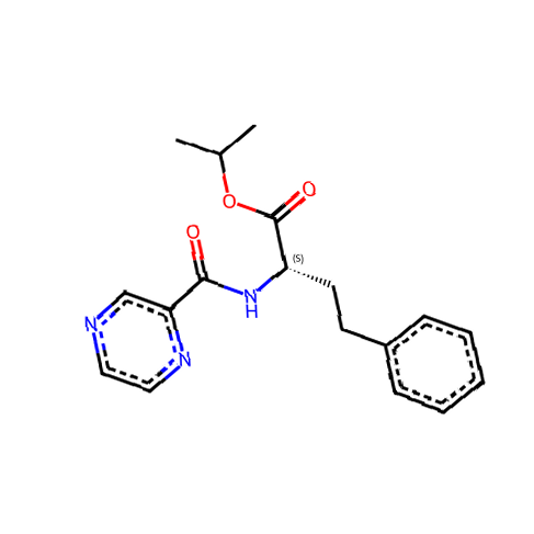 CC(C)OC(=O)[C@H](CCc1ccccc1)NC(=O)c1cnccn1